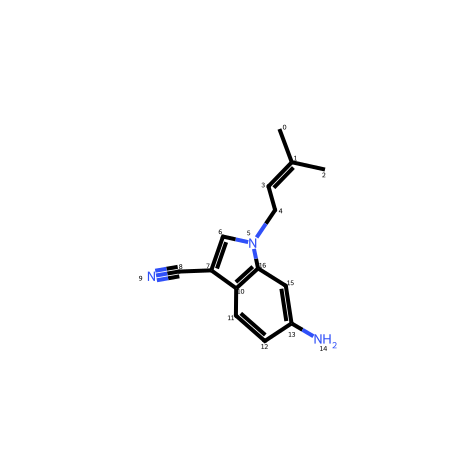 CC(C)=CCn1cc(C#N)c2ccc(N)cc21